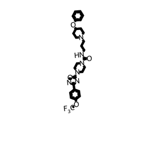 O=C(NCCCN1CCC(Oc2ccccc2)CC1)N1CCN(c2nc(-c3ccc(OC(F)(F)F)cc3)no2)CC1